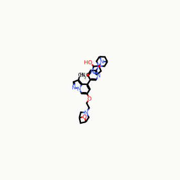 CN1CCC(N2C3CC2CN(c2ccc(-c4cc(OCCN5CC6CC(C5)O6)cn5ncc(C#N)c45)cn2)C3)C1O